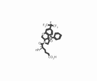 CCC[C@H](CCCC(=O)O)C(=O)N1CCC2(S(=O)(=O)c3ccccc3)c3ccc(C(F)(C(F)(F)F)C(F)(F)F)cc3OCC12